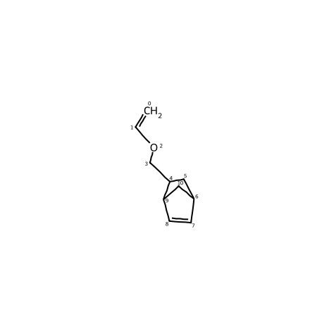 C=COCC1CC2C=CC1C2